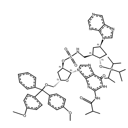 COc1ccc(C(OC[C@@H]2C[C@@H](OS(=O)(=O)NC[C@H]3C[C@@H](n4cnc5cncnc54)C[C@@H]3O[Si](C(C)C)(C(C)C)C(C)C)[C@H](n3cnc4c(=O)[nH]c(NC(=O)C(C)C)nc43)O2)(c2ccccc2)c2ccc(OC)cc2)cc1